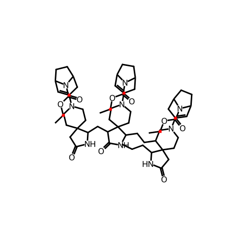 CCCC1NC(=O)CC12CCN(C1=CC3CCC(C1)N3C(=O)OCC)CC2CCC1NC(=O)C(CC2NC(=O)CC23CCN(C2=CC4CCC(C2)N4C(=O)OCC)CC3)C12CCN(C1=CC3CCC(C1)N3C(=O)OCC)CC2